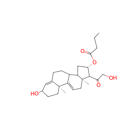 CCCC(=O)O[C@H]1CC2C3CCC4=CC(O)CC[C@]4(C)C3=CC[C@]2(C)C1C(=O)CO